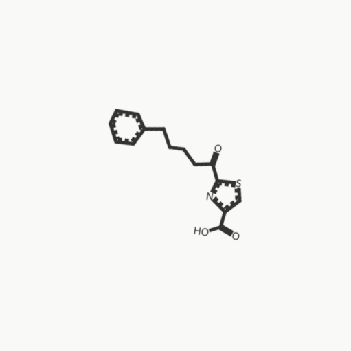 O=C(O)c1csc(C(=O)CCCCc2ccccc2)n1